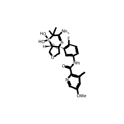 COc1cnc(C(=O)Nc2ccc(F)c([C@]34COC[C@@H]3S(O)(O)C(C)(C)C(N)=N4)c2)c(C)c1